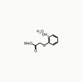 COC(=O)C[B]c1ccccc1.O.O